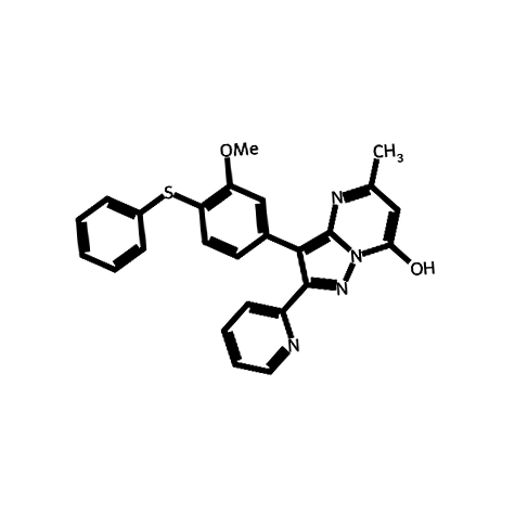 COc1cc(-c2c(-c3ccccn3)nn3c(O)cc(C)nc23)ccc1Sc1ccccc1